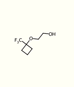 OCCOC1(C(F)(F)F)CCC1